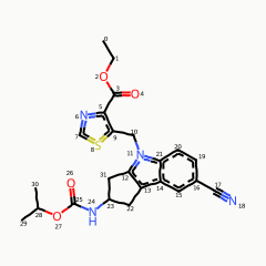 CCOC(=O)c1ncsc1Cn1c2c(c3cc(C#N)ccc31)CC(NC(=O)OC(C)C)C2